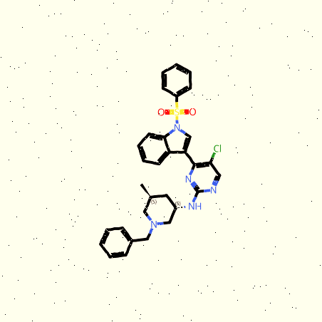 C[C@H]1C[C@H](Nc2ncc(Cl)c(-c3cn(S(=O)(=O)c4ccccc4)c4ccccc34)n2)CN(Cc2ccccc2)C1